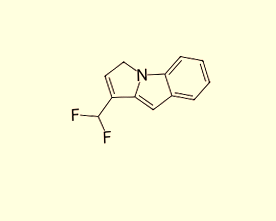 FC(F)C1=CCn2c1cc1ccccc12